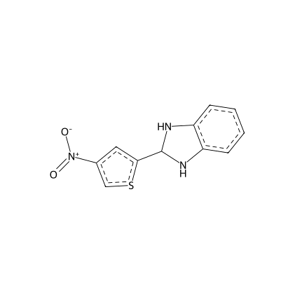 O=[N+]([O-])c1csc(C2Nc3ccccc3N2)c1